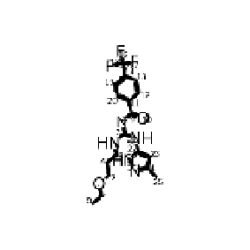 CCOCCCN/C(=N/C(=O)c1ccc(C(F)(F)F)cc1)Nc1cc(C)n[nH]1